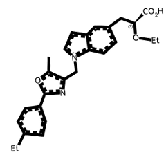 CCO[C@@H](Cc1ccc2c(ccn2Cc2nc(-c3ccc(CC)cc3)oc2C)c1)C(=O)O